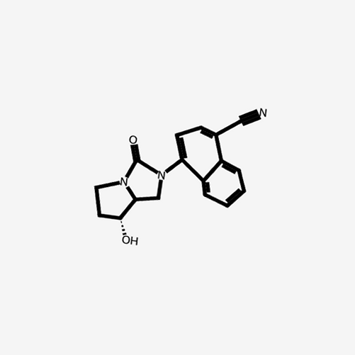 N#Cc1ccc(N2CC3[C@H](O)CCN3C2=O)c2ccccc12